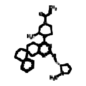 C=CC(=O)N1CCN(c2nc(OC[C@@H]3CCCN3C)nc3c2CCC2(CCCc4ccccc42)C3)[C@@H](C)C1